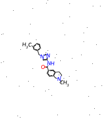 Cc1cccc(Cn2cnc(NC(=O)c3ccc4c(c3)CCN(C)C4)c2)c1